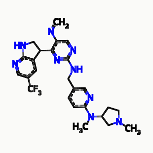 C=Nc1cnc(NCc2ccc(N(C)C3CCN(C)C3)nc2)nc1C1CNc2ncc(C(F)(F)F)cc21